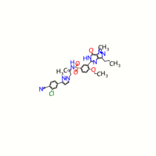 CCCc1nn(C)c2c(=O)[nH]c(-c3cc(S(=O)(=O)N[C@@H](C)Cn4ccc(-c5ccc(C#N)c(Cl)c5)n4)ccc3OCC)nc12